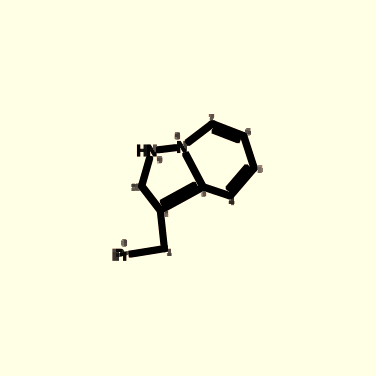 CC(C)CC1=C2C=CC=CN2NC1